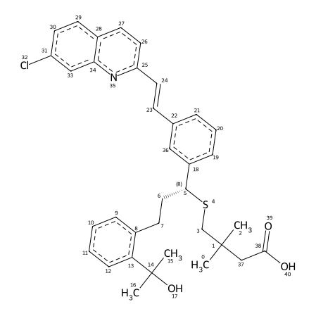 CC(C)(CS[C@H](CCc1ccccc1C(C)(C)O)c1cccc(C=Cc2ccc3ccc(Cl)cc3n2)c1)CC(=O)O